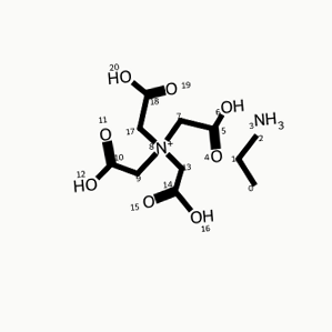 CCC.N.O=C(O)C[N+](CC(=O)O)(CC(=O)O)CC(=O)O